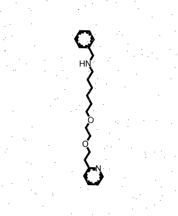 c1ccc(CNCCCCCCOCCOCCc2ccccn2)cc1